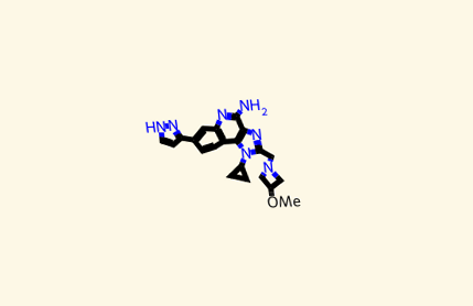 COC1CN(Cc2nc3c(N)nc4cc(-c5cc[nH]n5)ccc4c3n2C2CC2)C1